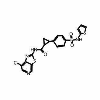 O=C(Nc1nc2c(Cl)cncc2s1)C1CC1c1ccc(S(=O)(=O)Nc2cccs2)cc1